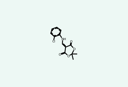 CC1(C)OC(=O)C(=CNc2ccccc2Cl)C(=O)O1